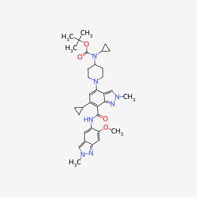 COc1cc2nn(C)cc2cc1NC(=O)c1c(C2CC2)cc(N2CCC(N(C(=O)OC(C)(C)C)C3CC3)CC2)c2cn(C)nc12